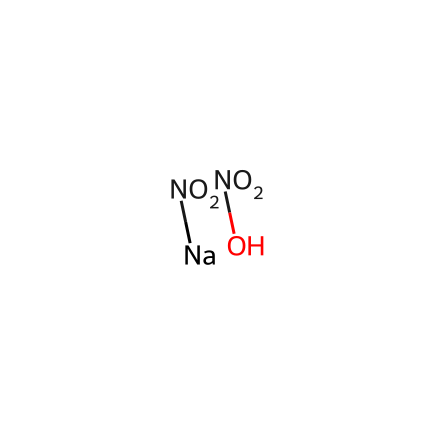 O=[N+]([O-])O.O=[N+]([O-])[Na]